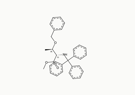 COC(=O)[C@@H](NC(c1ccccc1)(c1ccccc1)c1ccccc1)[C@@H](C)OCc1ccccc1